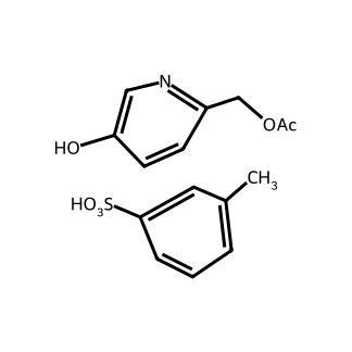 CC(=O)OCc1ccc(O)cn1.Cc1cccc(S(=O)(=O)O)c1